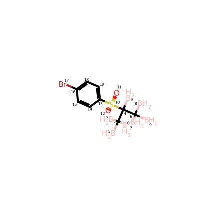 BC(B)(B)C(B)(C(B)(B)B)S(=O)(=O)c1ccc(Br)cc1